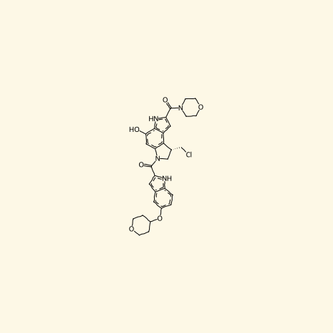 O=C(c1cc2c3c(cc(O)c2[nH]1)N(C(=O)c1cc2cc(OC4CCOCC4)ccc2[nH]1)C[C@H]3CCl)N1CCOCC1